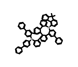 CC1(C)c2ccccc2-c2c(-n3c4ccccc4c4cccc5c6cc(-c7ccccc7)ccc6n(-c6ccc(-c7ccccc7)cc6)c6ccccc6c6cccc(c7cc(-c8ccccc8)ccc73)c6c54)cccc21